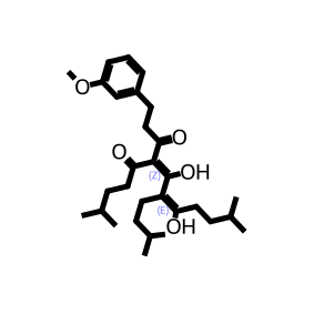 COc1cccc(CCC(=O)/C(C(=O)CCC(C)C)=C(O)/C(CCC(C)C)=C(/O)CCC(C)C)c1